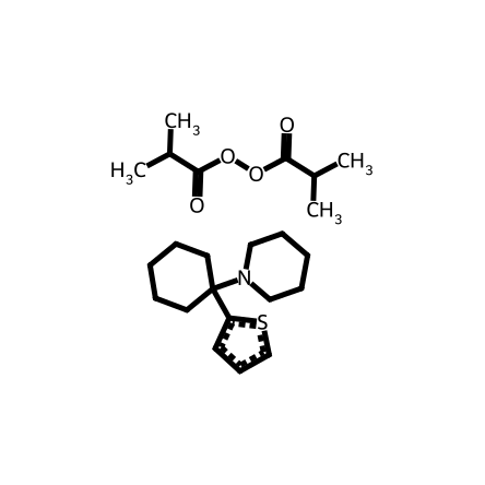 CC(C)C(=O)OOC(=O)C(C)C.c1csc(C2(N3CCCCC3)CCCCC2)c1